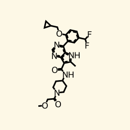 COCC(=O)N1CCC(NC(=O)c2c(C)[nH]c3c(-c4cc(C(F)F)ccc4OCC4CC4)ncnc23)CC1